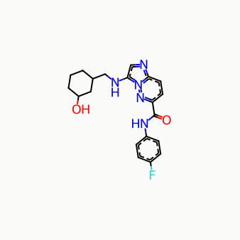 O=C(Nc1ccc(F)cc1)c1ccc2ncc(NCC3CCCC(O)C3)n2n1